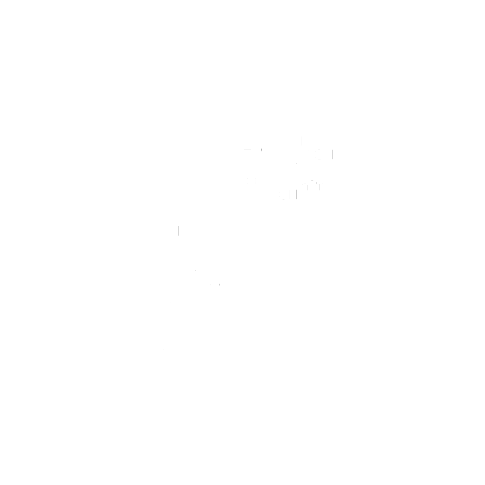 CCCC(C)(C)[Si](C)(C)OCC/C=C(\F)C(=O)Cc1ccccc1